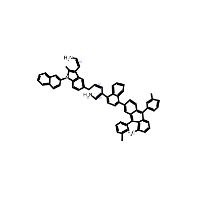 Cc1cccc(-c2c3ccc(-c4ccc(C(/C=C\Cc5ccc6c(c5)c(/C=C\N)c(C)n6-c5ccc6ccccc6c5)=C/N)c5ccccc45)cc3c(-c3cccc(C)c3)c3c(C(F)(F)F)cccc23)c1